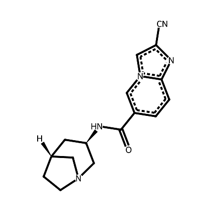 N#Cc1cn2cc(C(=O)N[C@@H]3C[C@H]4CCN(C4)C3)ccc2n1